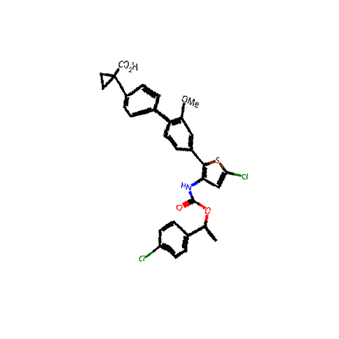 COc1cc(-c2sc(Cl)cc2NC(=O)OC(C)c2ccc(Cl)cc2)ccc1-c1ccc(C2(C(=O)O)CC2)cc1